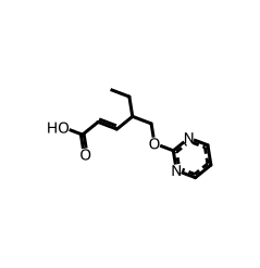 CCC(C=CC(=O)O)COc1ncccn1